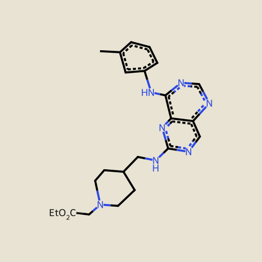 CCOC(=O)CN1CCC(CNc2ncc3ncnc(Nc4cccc(C)c4)c3n2)CC1